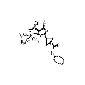 Cc1nn(C(C)(C)C)c2nc(C3CN(C(=O)NC4CCCCC4)C3)[nH]c(=O)c12